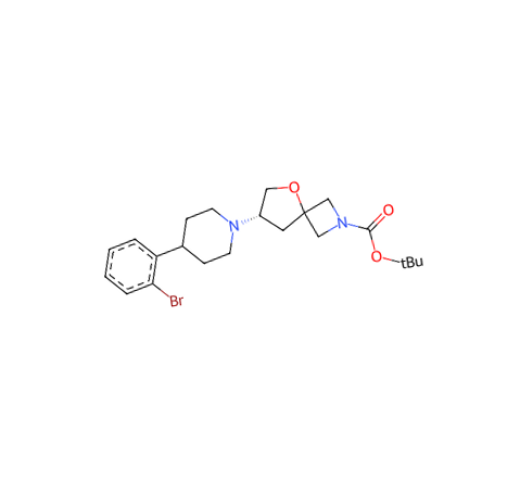 CC(C)(C)OC(=O)N1CC2(C[C@H](N3CCC(c4ccccc4Br)CC3)CO2)C1